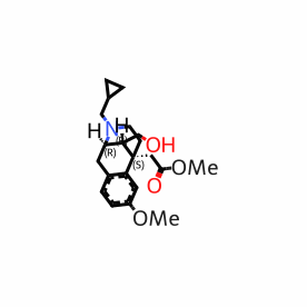 COC(=O)C[C@]12CCN(CC3CC3)[C@H](Cc3ccc(OC)cc31)[C@@H]2CO